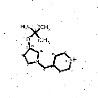 CC(C)(C)O[C@@H]1CCN(CC2CCNCC2)C1